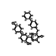 COC(=O)[C@H](Cc1ccc(-c2ccccc2)cc1)NC(=O)c1cc(-c2ccc(Cl)cc2)ccc1O